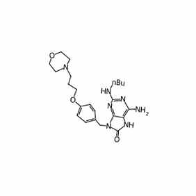 CCCCNc1nc(N)c2[nH]c(=O)n(Cc3ccc(OCCCN4CCOCC4)cc3)c2n1